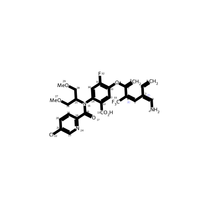 C=CC(=C/N)/C=C(\C(=C)Oc1cc(C(=O)O)c(N(C(=O)c2ccc(Cl)cn2)C(COC)COC)cc1F)C(F)(F)F